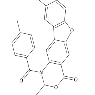 Cc1ccc(C(=O)N2c3cc4c(cc3C(=O)OC2C)oc2ccc(O)cc24)cc1